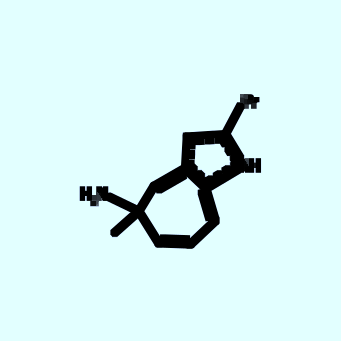 CC(C)c1cc2c([nH]1)=CC=CC(C)(N)C=2